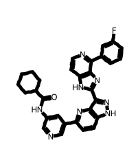 O=C(Nc1cncc(-c2ccc3[nH]nc(-c4nc5c(-c6cccc(F)c6)nccc5[nH]4)c3n2)c1)C1CCCCC1